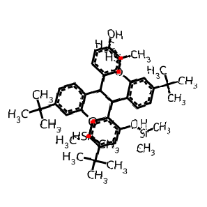 C[SiH](C)Oc1cc(C(C)(C)C)ccc1C(c1ccc(O)cc1)C(c1ccc(C(C)(C)C)cc1O[SiH](C)C)c1ccc(C(C)(C)C)cc1O[SiH](C)C